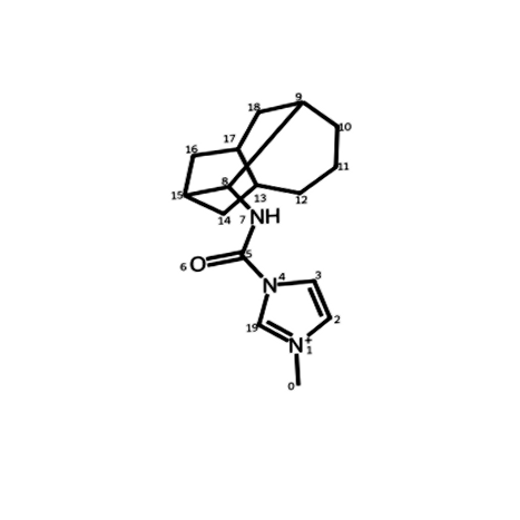 C[n+]1ccn(C(=O)NC2C3CCCC4CC2CC4C3)c1